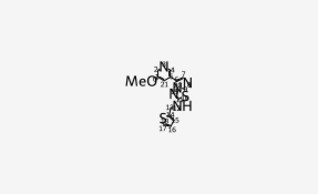 COc1cncc(-c2cnc3sc(NCc4cccs4)nn23)c1